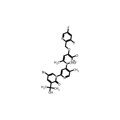 C/C(=C/C(OCc1ncc(F)cc1F)=C(\C)Cl)N(C=O)c1cc(-n2cc(Br)cc(C(C)(C)O)c2=O)ncc1C